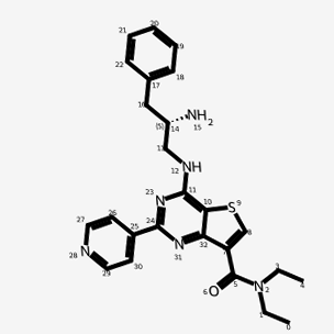 CCN(CC)C(=O)c1csc2c(NC[C@@H](N)Cc3ccccc3)nc(-c3ccncc3)nc12